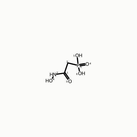 O=C(CP(=O)(O)O)NO